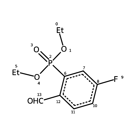 CCOP(=O)(OCC)c1cc(F)ccc1C=O